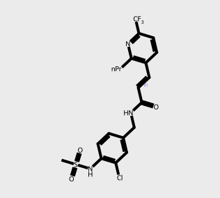 CCCc1nc(C(F)(F)F)ccc1/C=C/C(=O)NCc1ccc(NS(C)(=O)=O)c(Cl)c1